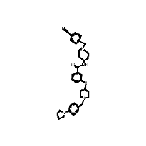 N#Cc1ccc(CN2CCC(NC(=O)c3cccc(OC4CCN(Cc5ccc(N6CCCC6)cc5)CC4)c3)CC2)cc1